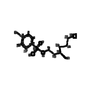 Cc1ccc(S(=O)(=O)OCC[C@H](C)CCCCl)cc1